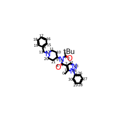 Cc1c(C(=O)N(C(=O)C(C)(C)C)C2CCN(Cc3ccccc3)CC2)cnn1-c1ccccc1